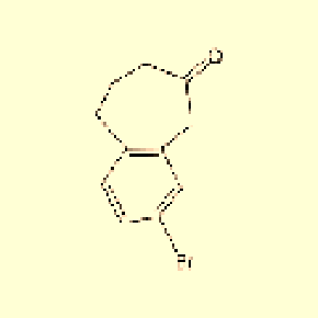 O=C1CCCc2ccc(Br)cc2C1